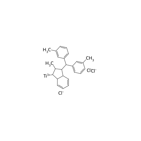 Cc1cccc(C(c2cccc(C)c2)C2C(C)[CH]([Ti+3])C3C=CC=CC32)c1.[Cl-].[Cl-].[Cl-]